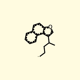 [CH2]CCC(C)c1coc2ccc3ccccc3c12